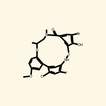 COc1ccc2c(c1)-c1cc(c(F)cc1Cl)NSc1cc(cc(Br)c1O)C(=O)N(C)CC(C)O2